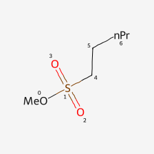 [CH]OS(=O)(=O)CCCCC